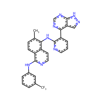 Cc1ccc2c(Nc3cccc(C(F)(F)F)c3)nccc2c1Nc1ncccc1-c1ncnc2[nH]ncc12